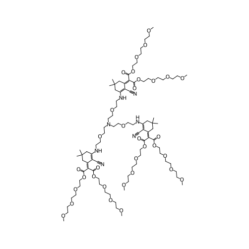 COCCOCCOCCOC(=O)C(C(=O)OCCOCCOCCOC)=C1CC(C)(C)CC(NCCOCCN(CCOCCNC2=C(C#N)C(=C(C(=O)OCCOCCOCCOC)C(=O)OCCOCCOCCOC)CC(C)(C)C2)CCOCCNC2=C(C#N)C(=C(C(=O)OCCOCCOCCOC)C(=O)OCCOCCOCCOC)CC(C)(C)C2)=C1C#N